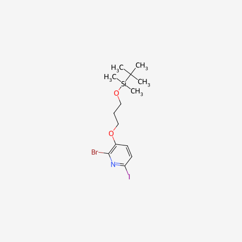 CC(C)(C)[Si](C)(C)OCCCOc1ccc(I)nc1Br